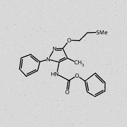 CSCCOc1nn(-c2ccccc2)c(NC(=O)Oc2ccccc2)c1C